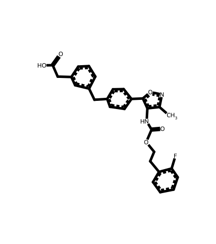 Cc1noc(-c2ccc(Cc3cccc(CC(=O)O)c3)cc2)c1NC(=O)OCCc1ccccc1F